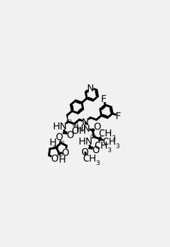 COC(=O)N[C@H](C(=O)NN(CCc1cc(F)cc(F)c1)C[C@H](O)[C@H](Cc1ccc(-c2cccnc2)cc1)NC(=O)O[C@H]1CO[C@H]2OCC[C@H]21)C(C)(C)C